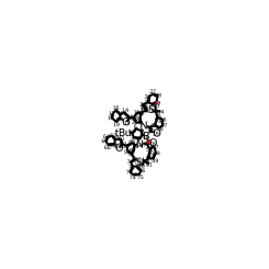 CC(C)(C)c1cc2c3c(c1)N1c4cc(cc(-c5cc6ccccc6o5)c4)C4=Cc5ccccc5[SH]4C(C)(C)c4ccc5oc(c1c5c4)B3c1oc3ccc4cc3c1N2c1cc(cc(-c2cc3ccccc3o2)c1)C1=Cc2ccccc2[SH]1C4(C)C